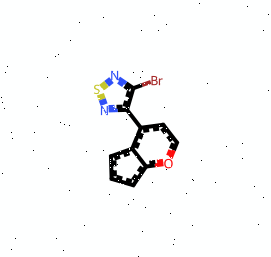 Brc1nsnc1-c1ccoc2cccc1-2